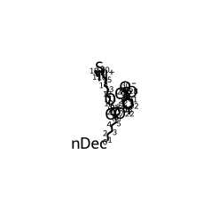 CCCCCCCCCCCCCCC[C@@H]1OC[C@@H](COCCCC[n+]2ccsc2)O1.Cc1ccc(S(=O)(=O)[O-])cc1